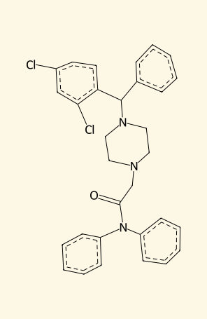 O=C(CN1CCN(C(c2ccccc2)c2ccc(Cl)cc2Cl)CC1)N(c1ccccc1)c1ccccc1